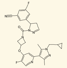 Cc1nn(CC2CC2)c(C)c1-c1cc(OC2CN(C(=O)N3N=CCC3c3cc(F)cc(C#N)c3)C2)c(F)cn1